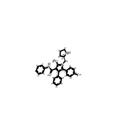 CC(C)c1c(C(=O)Nc2ccccc2)c(-c2ccccc2)c(-c2ccc(F)cc2)n1C[C@H]1CCCN1